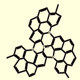 Cc1ccc2c3c1ccc1ccc4cc5c6c(c4c13)N2c1cc2ccc3ccc4c(C)ccc7c4c3c2c2c1P6(=O)c1c(cc3ccc4ccc6c(C)ccc8c6c4c3c1N58)N27